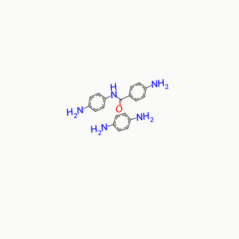 Nc1ccc(N)cc1.Nc1ccc(NC(=O)c2ccc(N)cc2)cc1